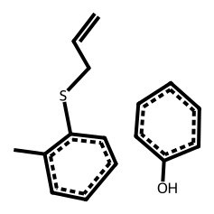 C=CCSc1ccccc1C.Oc1ccccc1